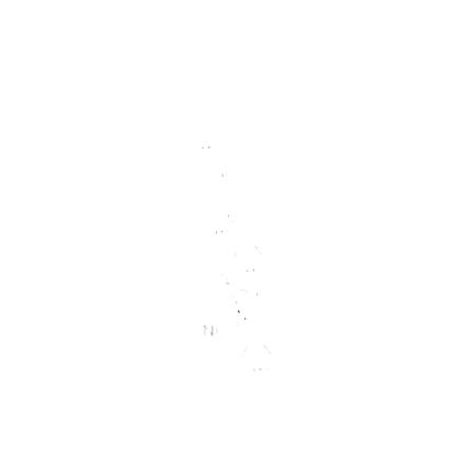 C=C(C)COCCOC(=O)c1cccc(S(=O)(=O)O/N=C(\C#N)c2ccccc2)c1